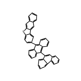 c1ccc2cc3c(cc2c1)sc1ccc(-c2c4ccccc4c(-c4cc5ccccc5c5ccccc45)c4ccccc24)cc13